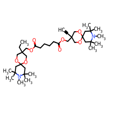 C#CC1(COC(=O)CCCCC(=O)OCC2(CC)COC3(CC(C)(C)N(C)C(C)(C)C3)OC2)COC2(CC(C)(C)N(C)C(C)(C)C2)OC1